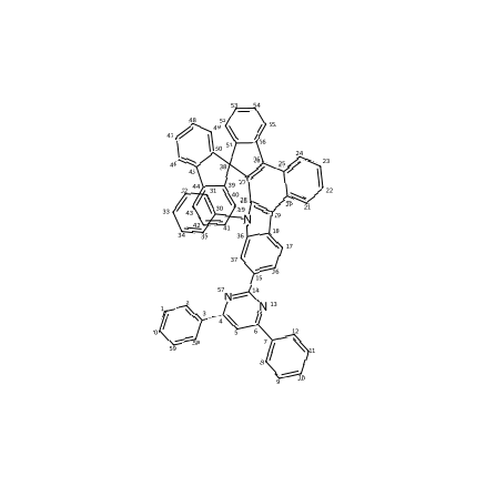 c1ccc(-c2cc(-c3ccccc3)nc(-c3ccc4c5c6ccccc6c6c(c5n(-c5ccccc5)c4c3)C3(c4ccccc4-c4ccccc43)c3ccccc3-6)n2)cc1